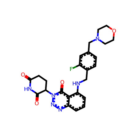 O=C1CCC(n2nnc3cccc(NCc4ccc(CN5CCOCC5)cc4F)c3c2=O)C(=O)N1